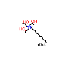 CCCCCCCC/C=C\CCCCCCCC[N+](CC(C)O)(CC(C)O)CC(C)O